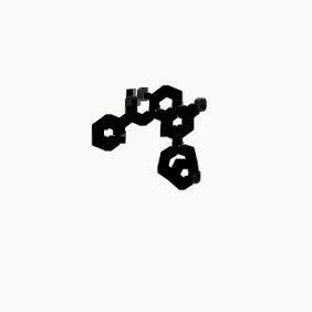 O=C(CN1c2nc(N3CCC4COC(C4)C3)cc(=O)n2CC[C@H]1C(F)(F)F)c1ccccn1